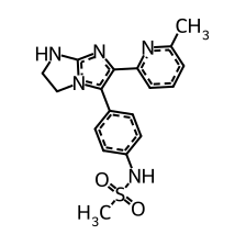 Cc1cccc(-c2nc3n(c2-c2ccc(NS(C)(=O)=O)cc2)CCN3)n1